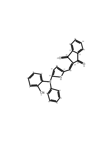 N#Cc1ccccc1N(c1ccccc1)c1ccc(C=C2C(=O)c3ccccc3C2=O)s1